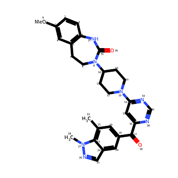 COc1ccc2c(c1)CCN(C1CCN(c3cc(C(=O)c4cc(C)c5c(cnn5C)c4)ncn3)CC1)C(=O)N2